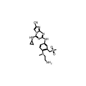 CN(CCN)c1ccc(Nc2nc(NC3CC3)n3cc(C#N)nc3n2)cc1CS(C)(=O)=O